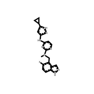 CN(Cc1c(F)ccc2[nH]ncc12)c1nccc(Nc2cc(C3CC3)[nH]n2)n1